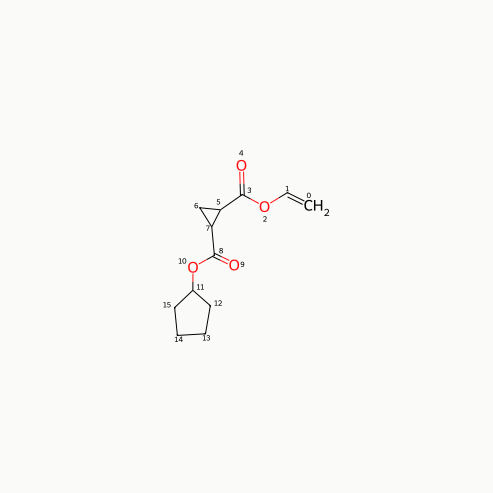 C=COC(=O)C1CC1C(=O)OC1CCCC1